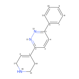 C1=C(c2ccc(-c3ccccc3)nn2)CCNC1